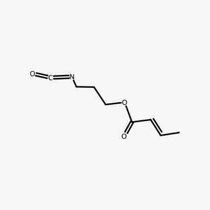 CC=CC(=O)OCCCN=C=O